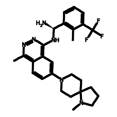 Cc1c([C@@H](N)Nc2nnc(C)c3ccc(N4CCC5(CCCN5C)CC4)cc23)cccc1C(F)(F)F